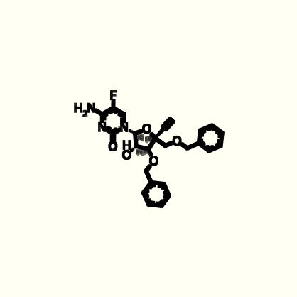 C#C[C@]1(COCc2ccccc2)O[C@@H](n2cc(F)c(N)nc2=O)[C@@H](O)[C@@H]1OCc1ccccc1